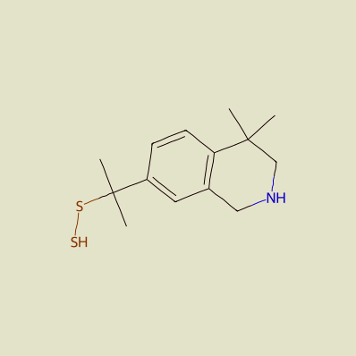 CC1(C)CNCc2cc(C(C)(C)SS)ccc21